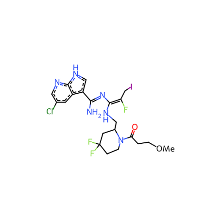 COCCC(=O)N1CCC(F)(F)CC1CNC(/N=C(\N)c1c[nH]c2ncc(Cl)cc12)=C(\F)CI